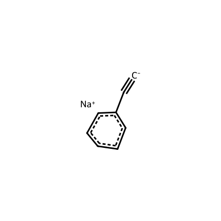 [C-]#Cc1ccccc1.[Na+]